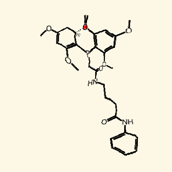 COC1=CC(OC)=C(P(CC(=O)NCCCC(=O)Nc2ccccc2)c2c(OC)cc(OC)cc2OC)[C@@H](OC)C1